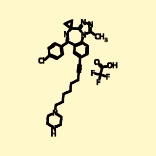 Cc1nnc2n1-c1ccc(C#CCCCCCCN3CCNCC3)cc1C(c1ccc(Cl)cc1)=NC21CC1.O=C(O)C(F)(F)F